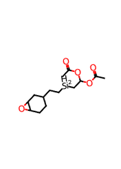 CC(=O)OC(C[SiH2]CCC1CCC2OC2C1)OC(C)=O